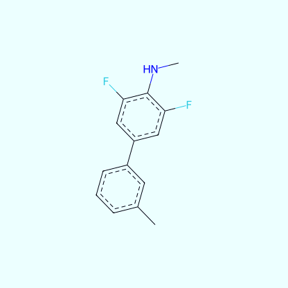 CNc1c(F)cc(-c2cccc(C)c2)cc1F